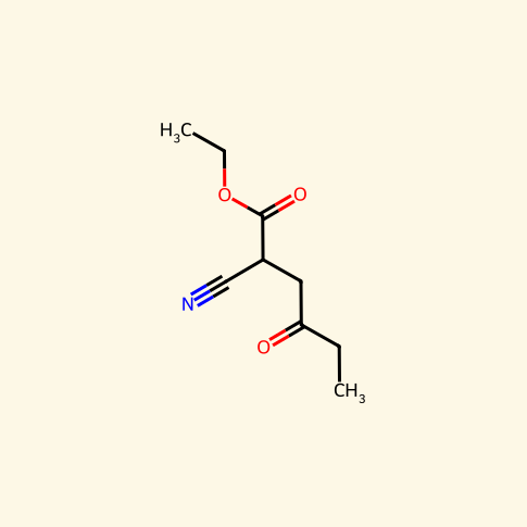 CCOC(=O)C(C#N)CC(=O)CC